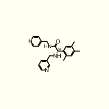 Cc1cc(C)c([C@H](NCc2cccnc2)C(=O)NCc2ccncc2)cc1C